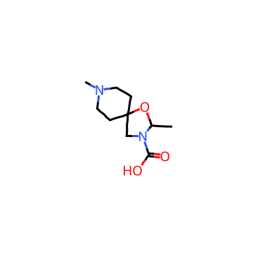 CC1OC2(CCN(C)CC2)CN1C(=O)O